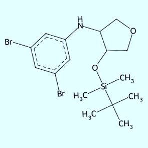 CC(C)(C)[Si](C)(C)OC1COCC1Nc1cc(Br)cc(Br)c1